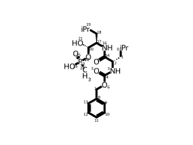 CC(C)C[C@H](NC(=O)OCc1ccccc1)C(=O)N[C@H](CC(C)C)[C@@H](O)OP(C)(=O)O